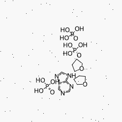 C1CCOC1.C1CCOC1.O=P(O)(O)O.O=P(O)(O)O.O=P(O)(O)O.c1ncc2nc[nH]c2n1